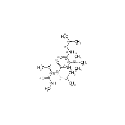 CO[C@H](C(=O)NO)[C@@H](CC(C)C)C(=O)NC(C(=O)NCC(C)C)C(C)(C)C